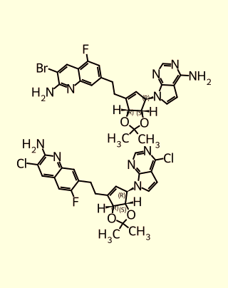 CC1(C)O[C@@H]2[C@H](O1)C(CCc1cc(F)c3cc(Br)c(N)nc3c1)=C[C@H]2n1ccc2c(N)ncnc21.CC1(C)O[C@@H]2[C@H](O1)C(CCc1cc3nc(N)c(Cl)cc3cc1F)=C[C@H]2n1ccc2c(Cl)ncnc21